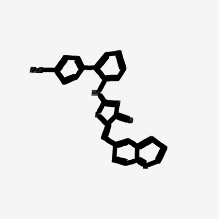 COc1ccc(-c2ccccc2NC2=NC(=O)C(=Cc3ccc4ncccc4c3)S2)cc1